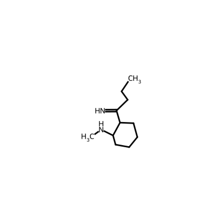 CCCC(=N)C1CCCCC1NC